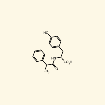 CC(C(=O)N[C@@H](Cc1ccc(O)cc1)C(=O)O)c1ccccc1